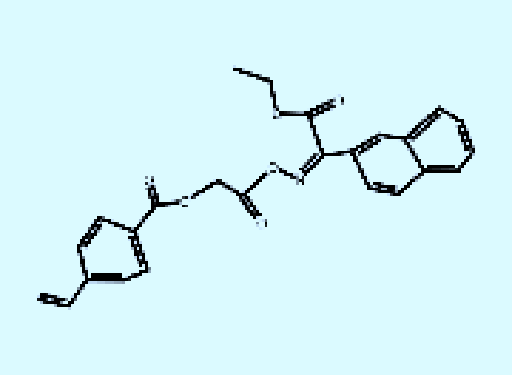 C=Cc1ccc(C(=O)OCC(=O)ON=C(C(=O)OCC)c2ccc3ccccc3c2)cc1